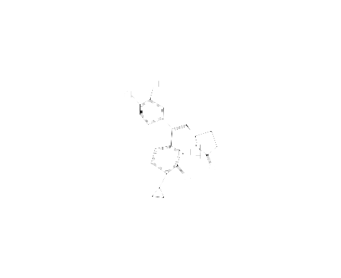 Cc1cc(/C(=C/[C@H]2CCC(=O)N2)c2ccc(C3CC3)c(=O)[nH]2)ccc1Cl